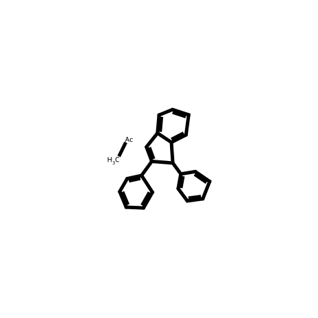 C1=C(c2ccccc2)C(c2ccccc2)c2ccccc21.CC(C)=O